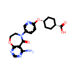 Nc1ncnc2c1C(=O)N(c1ccc(O[C@H]3CC[C@@H](C(=O)O)CC3)nc1)CCO2